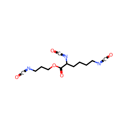 O=C=NCCCCC(N=C=O)C(=O)OCCCN=C=O